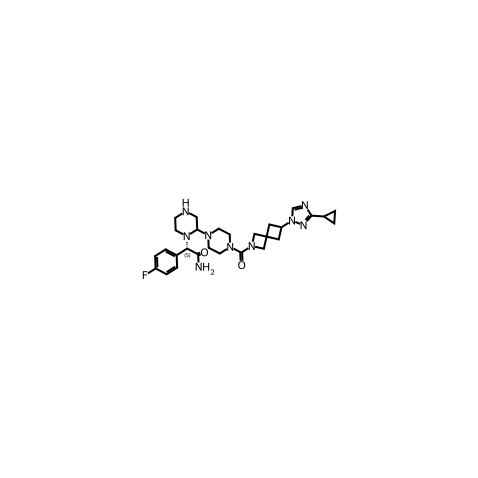 NC(=O)[C@H](c1ccc(F)cc1)N1CCNCC1N1CCN(C(=O)N2CC3(CC(n4cnc(C5CC5)n4)C3)C2)CC1